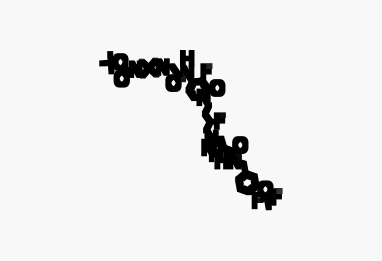 CC(C)(C)OC(=O)N1CC2(CN(CC(=O)Nc3ccn(CCC(F)Cn4cc(C(=O)NCc5cccc(OC(C)(F)F)c5)nn4)c(=O)c3F)C2)C1